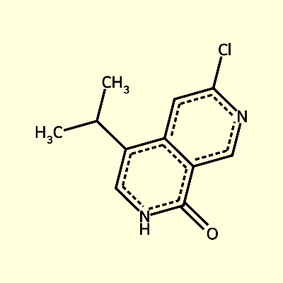 CC(C)c1c[nH]c(=O)c2cnc(Cl)cc12